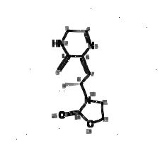 C=C1NCC=N/C1=C/[C@@H](C)N1CCOC1=O